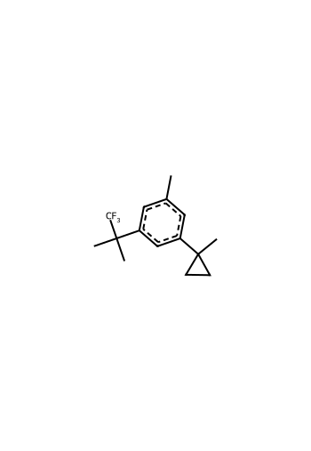 Cc1cc(C2(C)CC2)cc(C(C)(C)C(F)(F)F)c1